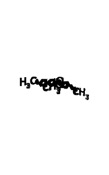 CCCCC1CCC(OC(=O)C2CCC(C3CCC(CCC)CC3C)CC2)CC1